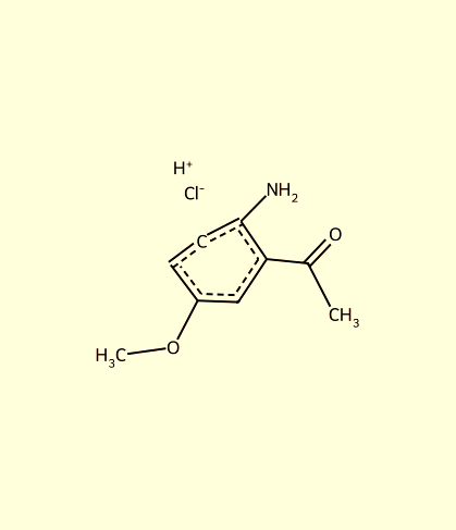 COc1ccc(N)c(C(C)=O)c1.[Cl-].[H+]